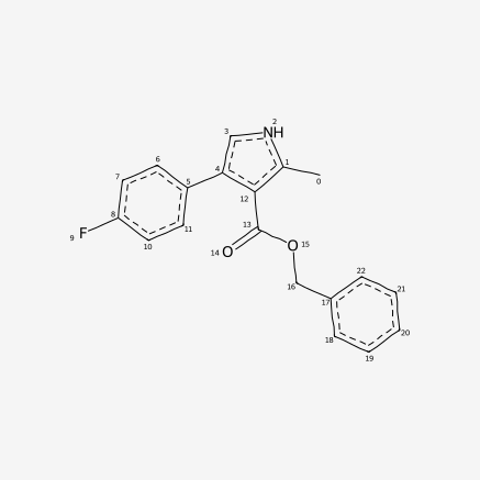 Cc1[nH]cc(-c2ccc(F)cc2)c1C(=O)OCc1ccccc1